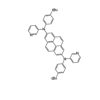 CC(C)(C)c1ccc(N(c2cccnc2)c2cc3ccc4cc(N(c5ccc(C(C)(C)C)cc5)c5cccnc5)cc5ccc(c2)c3c45)cc1